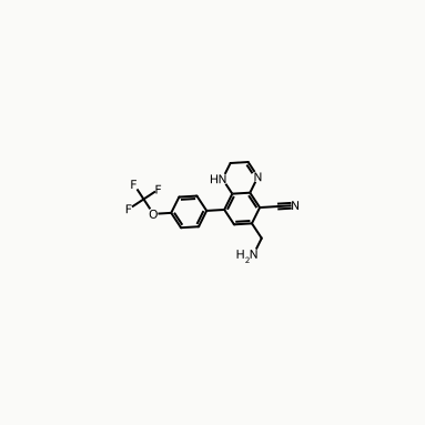 N#Cc1c(CN)cc(-c2ccc(OC(F)(F)F)cc2)c2c1N=CCN2